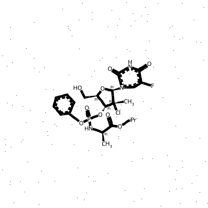 CC(C)OC(=O)[C@@H](C)NP(=O)(Oc1ccccc1)O[C@@H]1[C@@H](CO)O[C@@H](n2cc(F)c(=O)[nH]c2=O)[C@]1(C)Cl